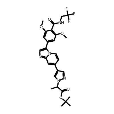 COc1cc(-c2cnc3cc(-c4cnn(C(C)C(=O)OC(C)(C)C)c4)ccn23)cc(OC)c1C(=O)NCC(F)(F)F